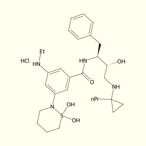 CCCC1(NC[C@@H](O)[C@H](Cc2ccccc2)NC(=O)c2cc(NCC)cc(N3CCCCS3(O)O)c2)CC1.Cl